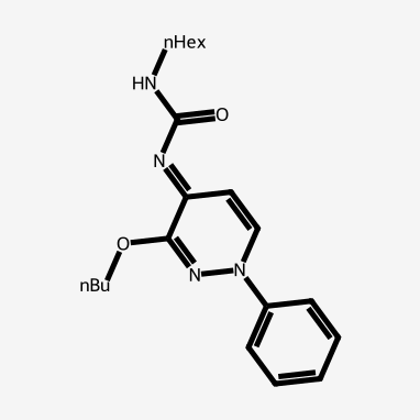 CCCCCCNC(=O)N=c1ccn(-c2ccccc2)nc1OCCCC